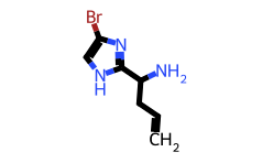 C=CCC(N)c1nc(Br)c[nH]1